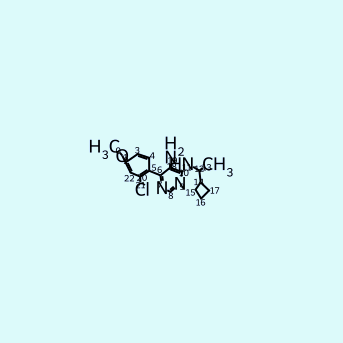 COc1ccc(-c2ncnc(NC(C)C3CCC3)c2N)c(Cl)c1